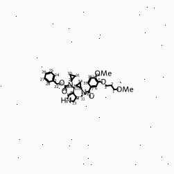 COCCCOc1cc(C(=O)N(C[C@@H]2CNC[C@H]2CN(C(=O)OCc2ccccc2)C2CC2)C2CC2)ccc1OC